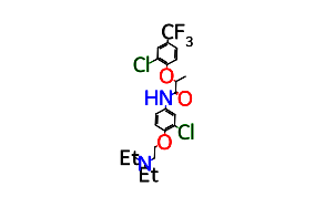 CCN(CC)CCOc1ccc(NC(=O)C(C)Oc2ccc(C(F)(F)F)cc2Cl)cc1Cl